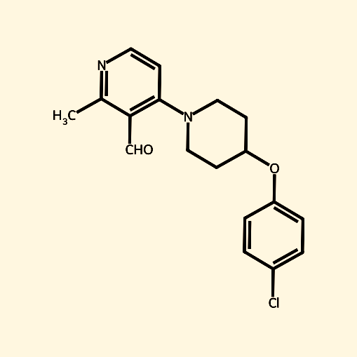 Cc1nccc(N2CCC(Oc3ccc(Cl)cc3)CC2)c1C=O